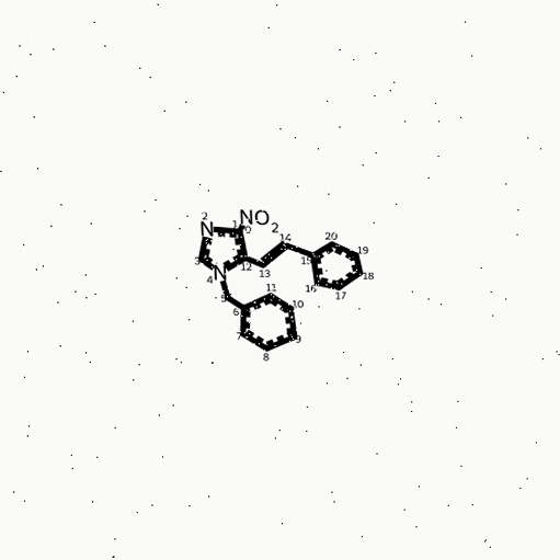 O=[N+]([O-])c1ncn(Cc2ccccc2)c1C=Cc1ccccc1